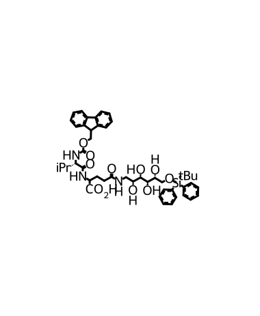 CC(C)[C@H](NC(=O)OCC1c2ccccc2-c2ccccc21)C(=O)NC(CCC(=O)NC[C@H](O)[C@@H](O)[C@H](O)[C@H](O)CO[Si](c1ccccc1)(c1ccccc1)C(C)(C)C)C(=O)O